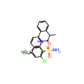 CC(C(=O)Nc1cc(Cl)cc(Cl)c1S(N)(=O)=O)c1ccccc1-c1ccc(S(=O)(=O)O)c(Cl)c1